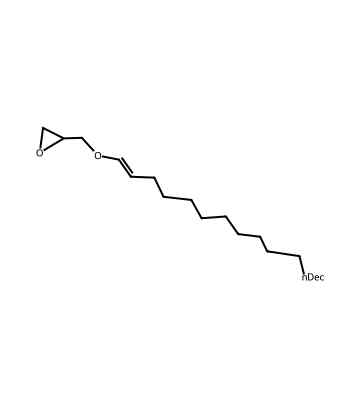 CCCCCCCCCCCCCCCCCCCC=COCC1CO1